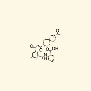 CC(=O)N1CCC2(CC1)CCN(c1cc(=O)c3cc(C)cc(C(C)Nc4ccccc4C(=O)O)c3o1)CC2